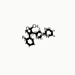 Cc1onc(-c2ccccc2F)c1-c1cn(-c2ncccn2)cn1